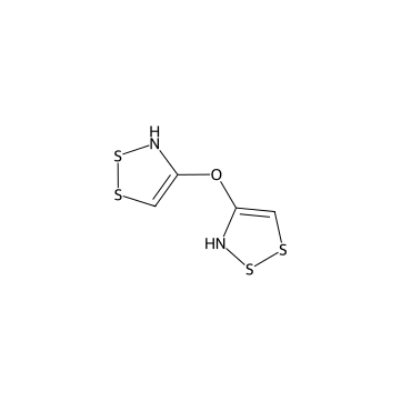 C1=C(OC2=CSSN2)NSS1